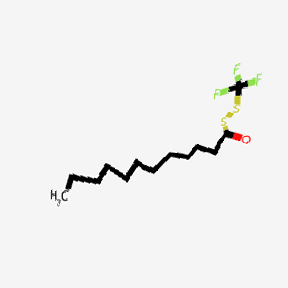 CCCCCCCCCCCC(=O)SSC(F)(F)F